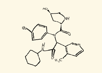 Cc1ccncc1C(C(=O)NC1CCCCC1)N(C(=O)[C@H]1C[C@@H](O)CN1)c1ccc(C(C)(C)C)cc1